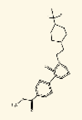 COC(=O)c1ccc(-c2cccn(CCN3CCC(C(F)(F)F)CC3)c2=O)cc1